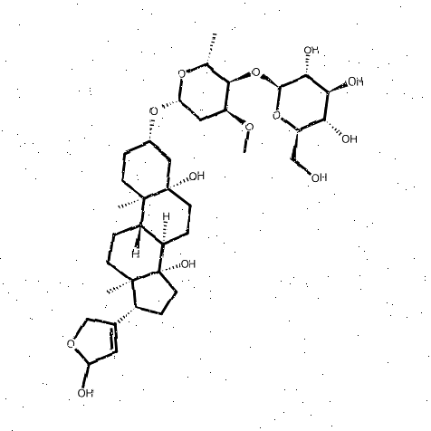 CO[C@H]1C[C@H](O[C@H]2CC[C@]3(C)[C@H]4CC[C@]5(C)[C@@H](C6=CC(O)OC6)CC[C@]5(O)[C@@H]4CC[C@]3(O)C2)O[C@H](C)[C@H]1O[C@@H]1O[C@H](CO)[C@@H](O)[C@H](O)[C@H]1O